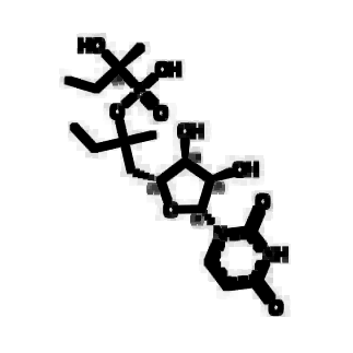 CCC(C)(C[C@H]1O[C@@H](n2ccc(=O)[nH]c2=O)[C@H](O)[C@@H]1O)OP(=O)(O)[C@@](C)(O)CC